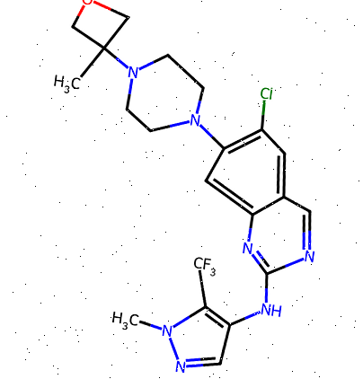 Cn1ncc(Nc2ncc3cc(Cl)c(N4CCN(C5(C)COC5)CC4)cc3n2)c1C(F)(F)F